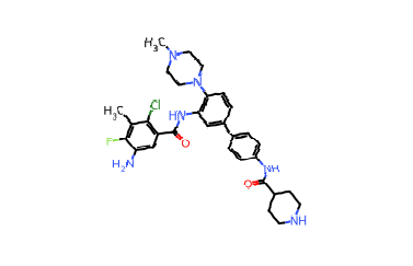 Cc1c(F)c(N)cc(C(=O)Nc2cc(-c3ccc(NC(=O)C4CCNCC4)cc3)ccc2N2CCN(C)CC2)c1Cl